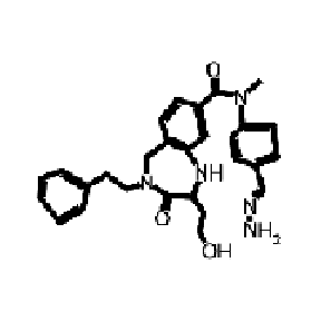 CN(C(=O)c1ccc2c(c1)NC(CCO)C(=O)N(CCc1ccccc1)C2)c1ccc(C=NN)cc1